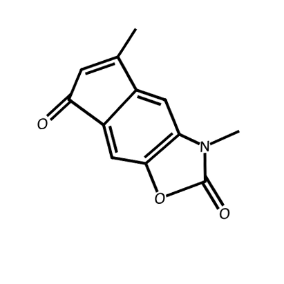 CC1=CC(=O)c2cc3oc(=O)n(C)c3cc21